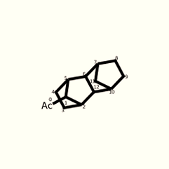 CC(=O)C1C2CCC1C1C3CCC(C3)C21